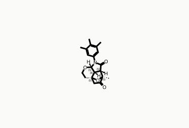 Cc1cc(N2C(=O)[C@H]3[C@H]4[C@@H]2OCC[C@]42CC(=O)[C@@]3(C)O2)cc(C)c1C